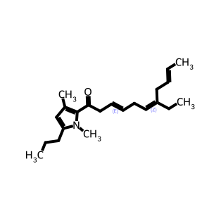 CC=CC/C(=C\C/C=C/CC(=O)c1c(C)cc(CCC)n1C)CC